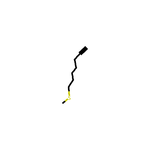 C#CCCCCCSC